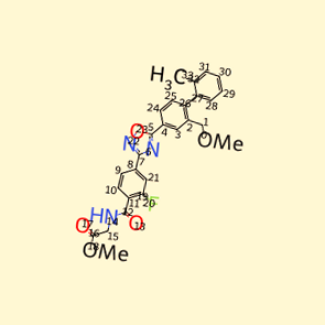 COCc1cc(-c2nc(-c3ccc(C(=O)NCC(=O)OC)c(F)c3)no2)ccc1-c1ccccc1C